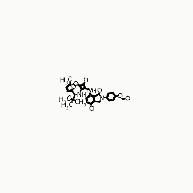 Cc1ccc([C@H](Nc2c(Nc3ccc(Cl)c4c3C(=O)N(c3ccc(OC=O)cc3)C4)c(=O)c2=O)C(C)(C)C)o1